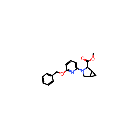 COC(=O)C1C2CC2CN1c1cccc(OCc2ccccc2)n1